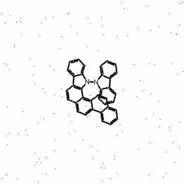 c1ccc2c(c1)ccc1c2ccc2ccc3c4ccccc4n(-n4c5ccccc5c5ccccc54)c3c21